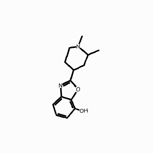 CC1CC(c2nc3cccc(O)c3o2)CCN1C